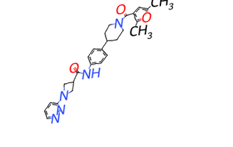 Cc1cc(C(=O)N2CCC(c3ccc(NC(=O)C4CN(c5cccnn5)C4)cc3)CC2)c(C)o1